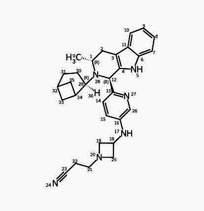 C[C@@H]1Cc2c([nH]c3ccccc23)[C@@H](c2ccc(NC3CN(CCC#N)C3)cn2)N1[C@@H]1CCC2CC1C2